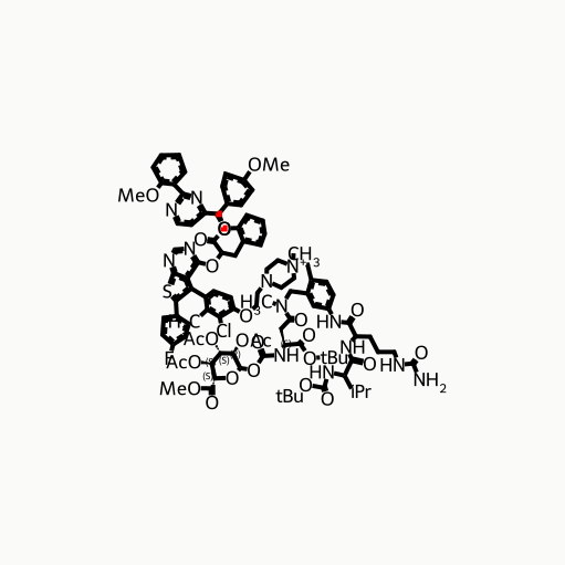 COC(=O)[C@H]1OC(OC(=O)N[C@@H](CC(=O)N(C)Cc2cc(NC(=O)C(CCCNC(N)=O)NC(=O)C(NC(=O)OC(C)(C)C)C(C)C)ccc2C[N+]2(C)CCN(CCOc3ccc(-c4c(-c5ccc(F)cc5)sc5ncnc(OC(Cc6ccccc6OCc6ccnc(-c7ccccc7OC)n6)C(=O)OCc6ccc(OC)cc6)c45)c(C)c3Cl)CC2)C(=O)OC(C)(C)C)[C@H](OC(C)=O)[C@@H](OC(C)=O)[C@@H]1OC(C)=O